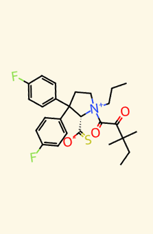 CCC[N+]1(C(=O)C(=O)C(C)(C)CC)CCC(c2ccc(F)cc2)(c2ccc(F)cc2)[C@H]1C([O-])=S